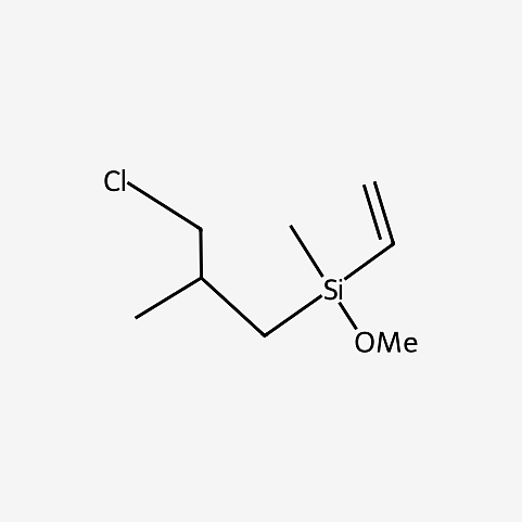 C=C[Si](C)(CC(C)CCl)OC